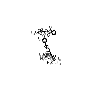 CC(C)(C)OC(=O)NCC(Cn1cc(-c2ccc(OCC(ON3C(=O)c4ccccc4C3=O)C(=O)OC(C)(C)C)cc2)cn1)O[Si](C)(C)C(C)(C)C